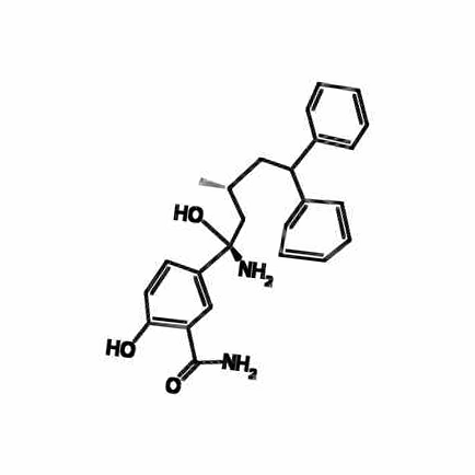 C[C@H](CC(c1ccccc1)c1ccccc1)C[C@@](N)(O)c1ccc(O)c(C(N)=O)c1